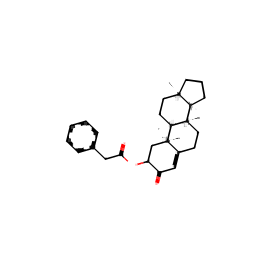 C[C@@]12CCC[C@H]1[C@@H]1CCC3=CC(=O)C(OC(=O)Cc4ccccc4)C[C@@H]3[C@H]1CC2